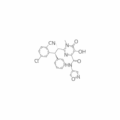 C[C@H](c1nc(C(=O)Nc2cnoc2)c(O)c(=O)n1C)[C@@H](c1ccccc1)c1cc(Cl)ccc1C#N